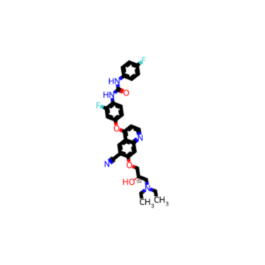 CCN(CC)C[C@H](O)COc1cc2nccc(Oc3ccc(NC(=O)Nc4ccc(F)cc4)c(F)c3)c2cc1C#N